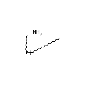 CCCCCCCCCCCCCCCCC(C)(C)C1=C(CCCCCCCC)C1.N